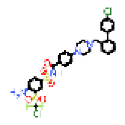 Nc1ccc(S(=O)(=O)NC(=O)c2ccc(N3CCN(Cc4ccccc4-c4ccc(Cl)cc4)CC3)cc2)cc1S(=O)(=O)C(F)(F)Cl